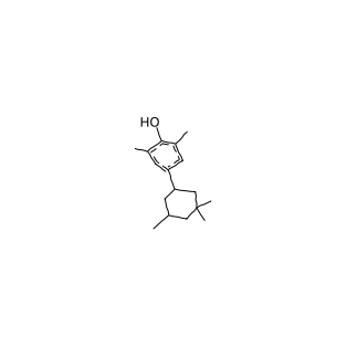 Cc1cc(C2CC(C)CC(C)(C)C2)cc(C)c1O